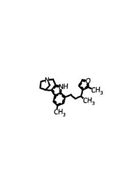 Cc1cc(CCC(C)c2ccoc2C)c2[nH]c3c(c2c1)C1CCN(C3)C1